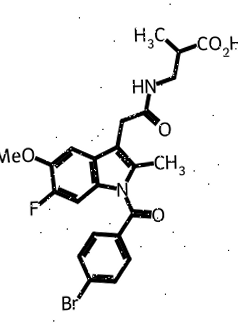 COc1cc2c(CC(=O)NCC(C)C(=O)O)c(C)n(C(=O)c3ccc(Br)cc3)c2cc1F